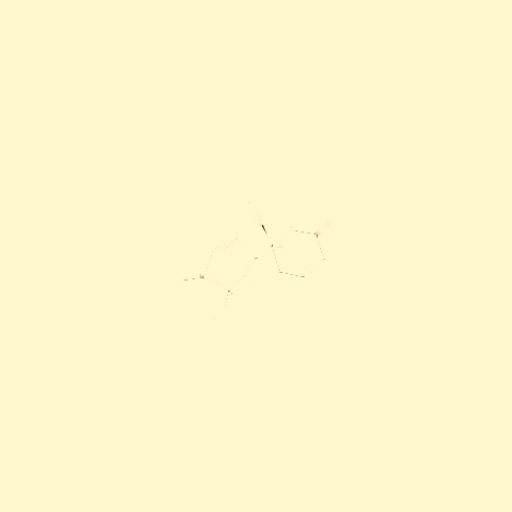 N#C[C@]1(c2ccc(Cl)c(Cl)c2)CCCC(=O)C1